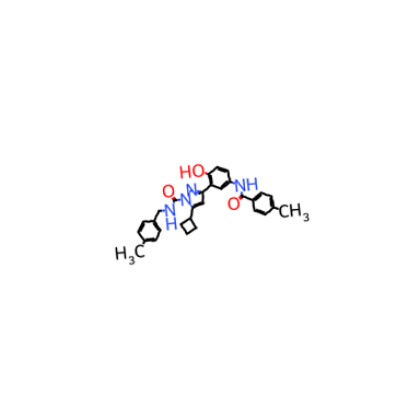 Cc1ccc(CNC(=O)n2nc(-c3cc(NC(=O)c4ccc(C)cc4)ccc3O)cc2C2CCC2)cc1